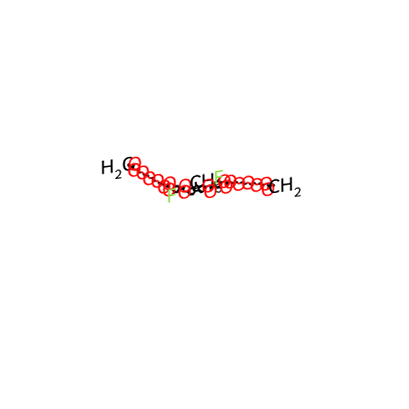 C=CC(=O)OCCOCCOCCOCCOC(=O)Oc1ccc(C(=O)Oc2ccc3c(c2)C(C)c2cc(OC(=O)c4ccc(OC(=O)OCCOCCOCCOCCOC(=O)C=C)c(F)c4)ccc2-3)cc1F